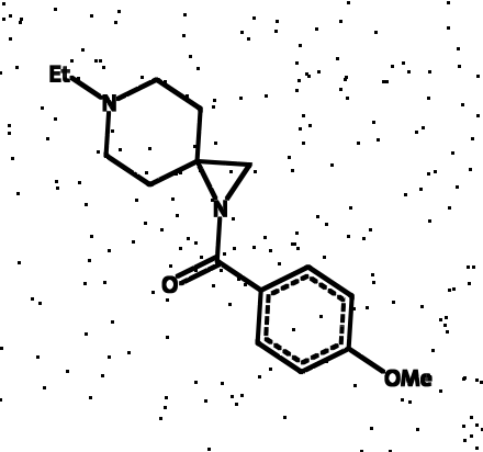 CCN1CCC2(CC1)CN2C(=O)c1ccc(OC)cc1